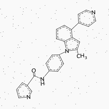 Cc1cc2c(-c3ccncc3)cccc2n1-c1ccc(NC(=O)c2cccnc2)cc1